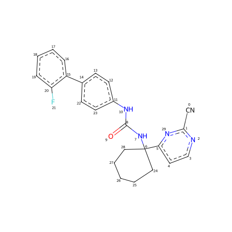 N#Cc1nccc(C2(NC(=O)Nc3ccc(-c4ccccc4F)cc3)CCCCC2)n1